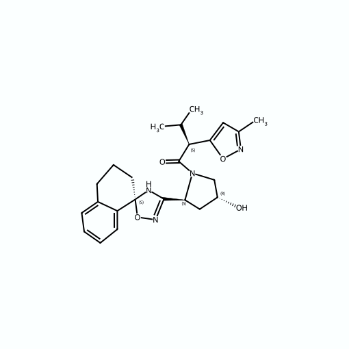 Cc1cc([C@@H](C(=O)N2C[C@H](O)C[C@H]2C2=NO[C@]3(CCCc4ccccc43)N2)C(C)C)on1